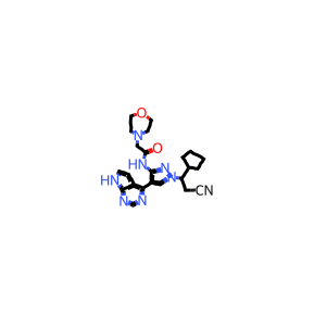 N#CCC(C1CCCC1)n1cc(-c2ncnc3[nH]ccc23)c(NC(=O)CN2CCOCC2)n1